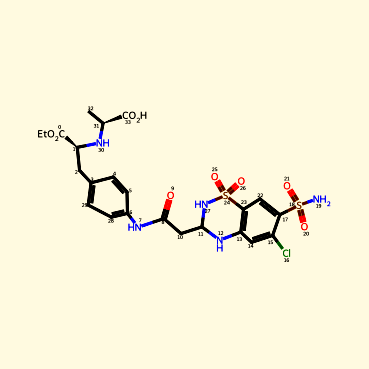 CCOC(=O)[C@H](Cc1ccc(NC(=O)CC2Nc3cc(Cl)c(S(N)(=O)=O)cc3S(=O)(=O)N2)cc1)N[C@@H](C)C(=O)O